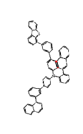 c1cc(-c2ccc(N(c3ccc(-c4cccc(-c5cccc6c5sc5ccccc56)c4)cc3)c3ccccc3-c3ccc4ccccc4c3)cc2)cc(-c2cccc3ccccc23)c1